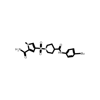 CCC(C)c1ccc(NC(=O)C2CCN(S(=O)(=O)c3cc(C(N)=O)n(C)c3)CC2)cc1